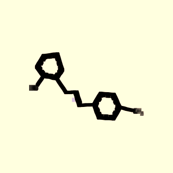 Cc1ccc(/C=C/Cc2ccccc2O)cc1